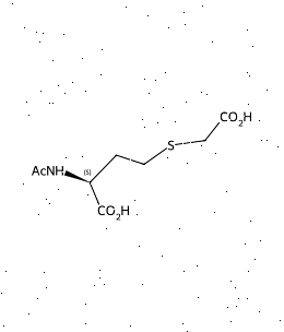 CC(=O)N[C@@H](CCSCC(=O)O)C(=O)O